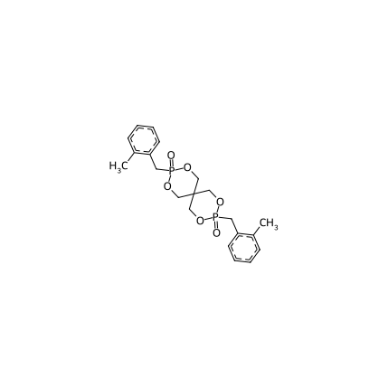 Cc1ccccc1CP1(=O)OCC2(CO1)COP(=O)(Cc1ccccc1C)OC2